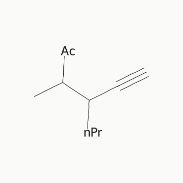 C#CC(CCC)C(C)C(C)=O